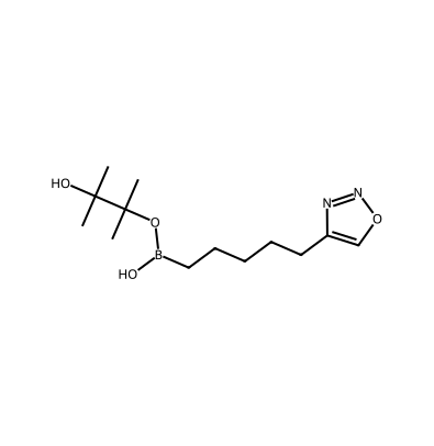 CC(C)(O)C(C)(C)OB(O)CCCCCc1conn1